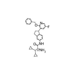 N[C@H](C(=O)Nc1ccc2c(c1)CCC2c1cc(F)cnc1OCc1ccccc1)C(C1CC1)C1CC1